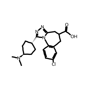 CN(C)[C@H]1CC[C@H](c2nnc3n2-c2ccc(Cl)cc2CC(C(=O)O)C3)CC1